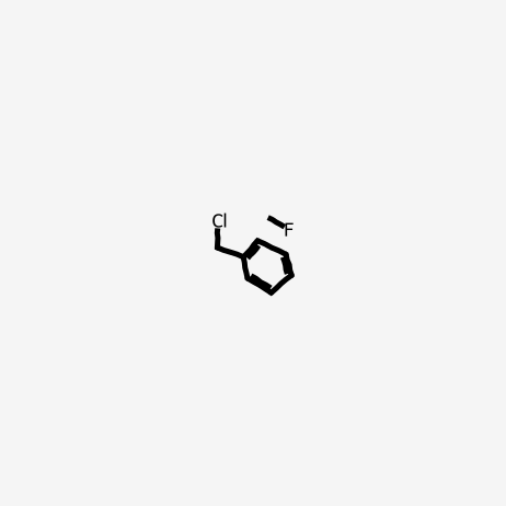 CF.ClCc1ccccc1